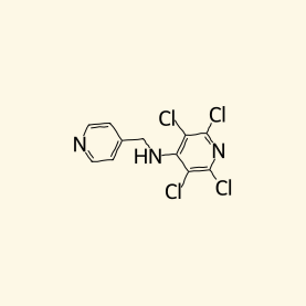 Clc1nc(Cl)c(Cl)c(NCc2ccncc2)c1Cl